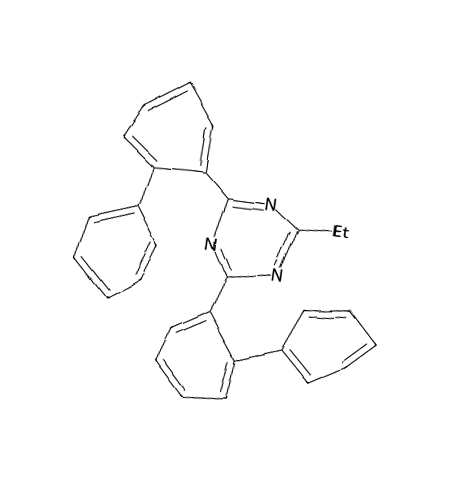 CCc1nc(-c2ccccc2-c2ccccc2)nc(-c2ccccc2-c2ccccc2)n1